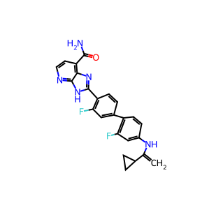 C=C(Nc1ccc(-c2ccc(-c3nc4c(C(N)=O)ccnc4[nH]3)c(F)c2)c(F)c1)C1CC1